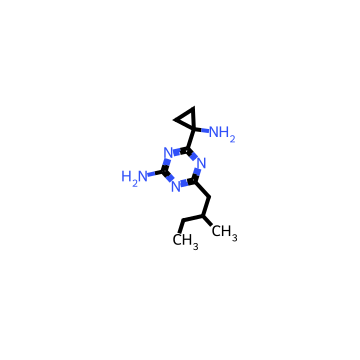 CCC(C)Cc1nc(N)nc(C2(N)CC2)n1